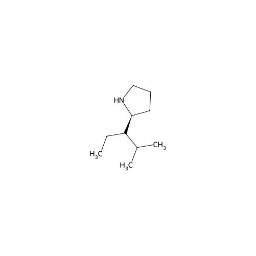 CCC(C(C)C)[C@@H]1CCCN1